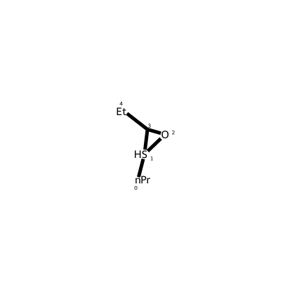 CCC[SH]1OC1CC